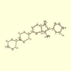 Cc1cc(-c2[nH]c3ccc(C4CCN(C5CCOCC5)CC4)cc3c2C(C)C)ccn1